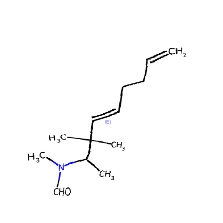 C=CCC/C=C/C(C)(C)C(C)N(C)C=O